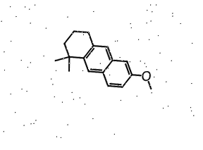 COc1ccc2cc3c(cc2c1)CCCC3(C)C